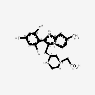 Cc1ccn2c(C[C@H]3CN(CC(=O)O)CCO3)c(-c3c(F)cc(F)cc3F)nc2c1